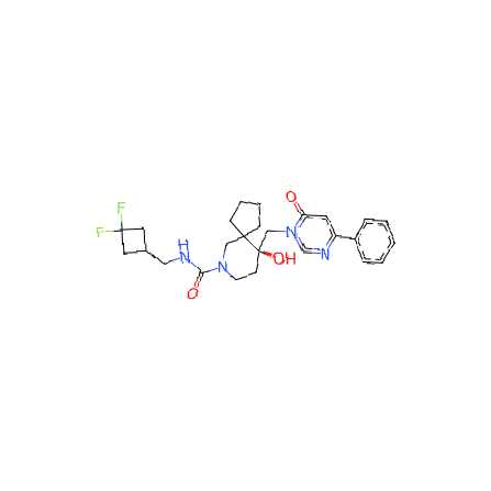 O=C(NCC1CC(F)(F)C1)N1CC[C@@](O)(Cn2cnc(-c3ccccc3)cc2=O)C2(CCCC2)C1